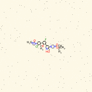 COc1c(-c2ccc(N3CCN(C)C3=O)c(Cl)c2)cc(F)cc1-c1cnc(CO)c(N2CCN(C(=O)OC(C)(C)C)CC2)c1